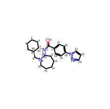 O=C(N[C@H]1CCCC[C@@H]1CN1CCCCCC1)c1ccc(-n2cccn2)cc1